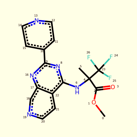 COC(=O)C(C)(Nc1nc(-c2ccncc2)nc2cnccc12)C(F)(F)F